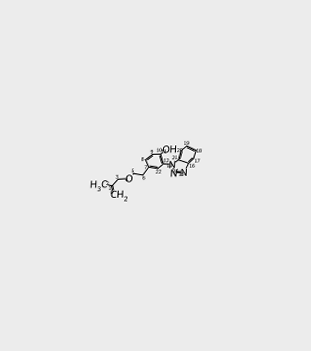 C=C(C)COCCc1ccc(O)c(-n2nnc3ccccc32)c1